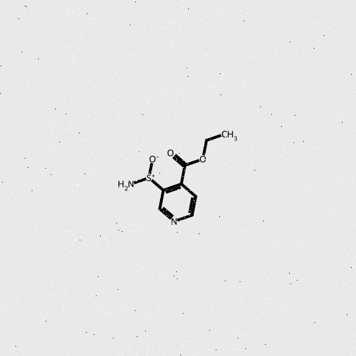 CCOC(=O)c1ccncc1[S+](N)[O-]